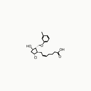 Cc1cccc(OC[C@@H]2[C@@H](C/C=C\CCCC(=O)O)[C@H](Cl)C[C@H]2O)c1